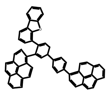 C1=C(c2ccc3ccc4cccc5ccc2c3c45)C(c2cccc3c2oc2ccccc23)=CCC1c1ccc(-c2ccc3ccc4cccc5ccc2c3c45)cc1